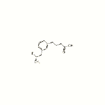 CC(F)Cc1cccc(CCCC(=O)O)c1